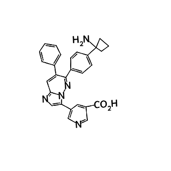 NC1(c2ccc(-c3nn4c(-c5cncc(C(=O)O)c5)cnc4cc3-c3ccccc3)cc2)CCC1